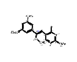 COc1cc(OC)cc(/C(=C/c2cnc(SC)nc2C)OC=O)c1